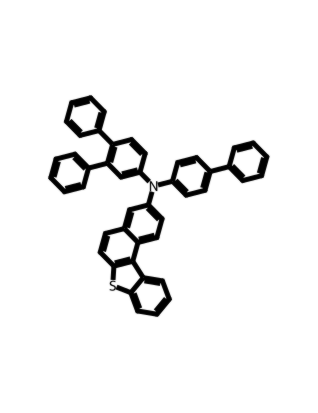 c1ccc(-c2ccc(N(c3ccc(-c4ccccc4)c(-c4ccccc4)c3)c3ccc4c(ccc5sc6ccccc6c54)c3)cc2)cc1